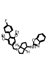 CCOc1cc(CN2CC[C@H]3C(Nc4nc5ccccc5o4)CC[C@H]32)cc(OCC)c1-c1ccc(F)cc1